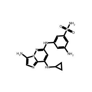 Nc1cc(Nc2cc(NC3CC3)c3ncc(N)n3n2)cc(S(N)(=O)=O)c1